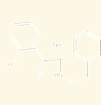 NC1(C(=O)c2ccccc2O)NCCc2ccccc21